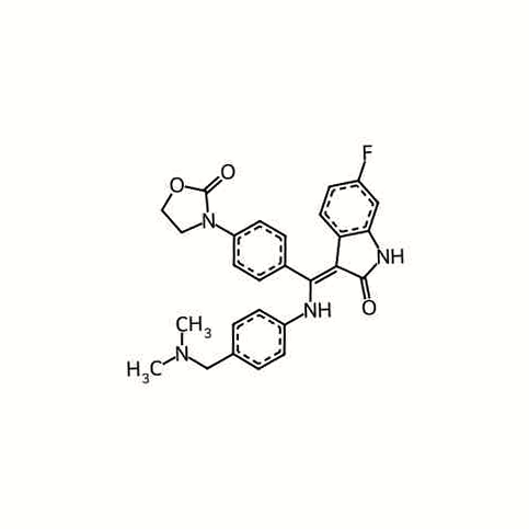 CN(C)Cc1ccc(N/C(=C2\C(=O)Nc3cc(F)ccc32)c2ccc(N3CCOC3=O)cc2)cc1